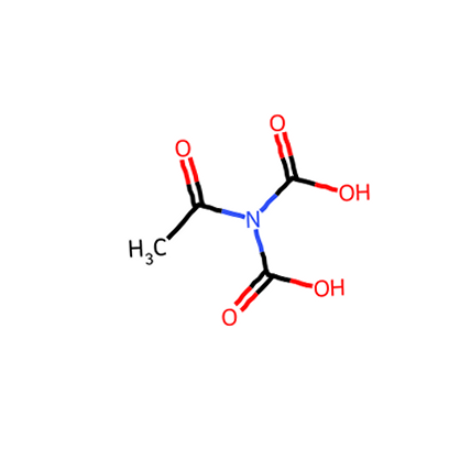 CC(=O)N(C(=O)O)C(=O)O